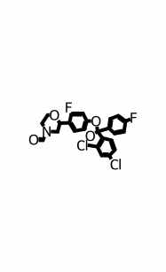 O=CN1CCOC(c2cc3c(cc2F)OC(c2ccc(F)cc2)(c2ccc(Cl)cc2Cl)O3)C1